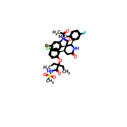 CCC(CC)(Oc1ccc(Cl)cc1[C@@H]1CC(=O)N[C@H](c2cc(F)ccc2C)[C@@]12C(=O)N(C(C)=O)c1cc(Br)ccc12)C(=O)NS(C)(=O)=O